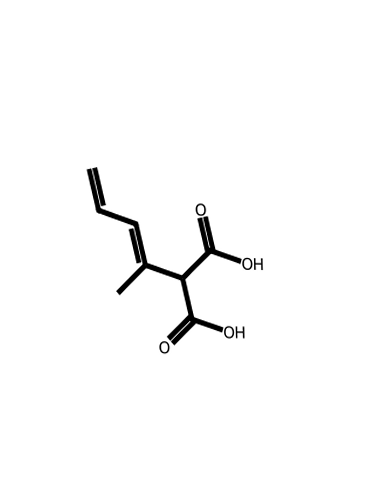 C=C/C=C(\C)C(C(=O)O)C(=O)O